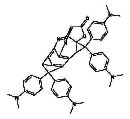 CN(C)c1ccc(C2(c3ccc(N(C)C)cc3)c3c4c(c5nc6c7nc5c3C3C6(OC7=O)C3(c3ccc(N(C)C)cc3)c3ccc(N(C)C)cc3)C42)cc1